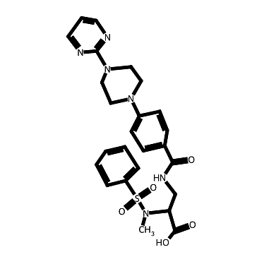 CN(C(CNC(=O)c1ccc(N2CCN(c3ncccn3)CC2)cc1)C(=O)O)S(=O)(=O)c1ccccc1